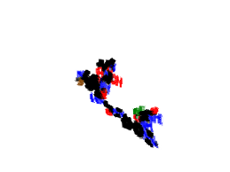 Cc1cc(C(C(=O)N2C[C@H](O)C[C@H]2C(=O)NC(CC(=O)NCCCC(=O)N2CCN(Cc3cccc(-c4ccc(N5CCN(C)CC5)c(NC(=O)c5c[nH]c(=O)cc5C(F)(F)F)c4)c3)CC2)c2ccc(-c3scnc3C)cc2)C(C)C)on1